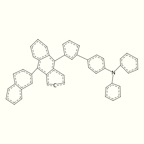 c1ccc(N(c2ccccc2)c2ccc(-c3cccc(-c4c5ccccc5c(-c5ccc6ccccc6c5)c5ccccc45)c3)cc2)cc1